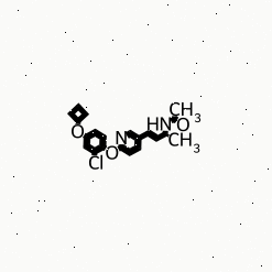 CC(=O)N[C@@H](C)/C=C/c1ccc(Oc2ccc(OC3CCC3)cc2Cl)nc1